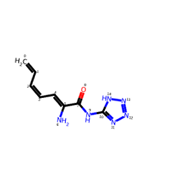 C=C/C=C\C=C(/N)C(=O)Nc1nnn[nH]1